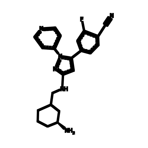 N#Cc1ccc(-c2cc(NCC3CCC[C@H](N)C3)nn2-c2ccncc2)cc1F